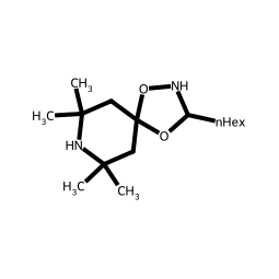 CCCCCCC1NOC2(CC(C)(C)NC(C)(C)C2)O1